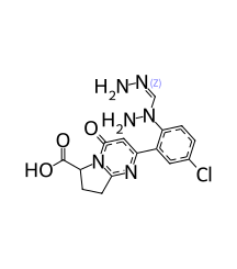 N/N=C\N(N)c1ccc(Cl)cc1-c1cc(=O)n2c(n1)CCC2C(=O)O